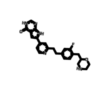 O=c1[nH]cnc2[nH]c(-c3ccnc(CCc4ccc(CC5CNCCO5)c(F)c4)c3)cc12